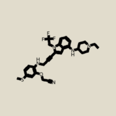 CCN1CCC(Nc2cccc3c2cc(C#CCNc2ccc(SC)cc2OCC#N)n3CC(F)(F)F)CC1